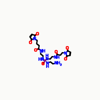 NCCNP(=O)(NCCNC(=O)CCCN1C(=O)C=CC1=O)NCCNC(=O)CCN1C(=O)C=CC1=O